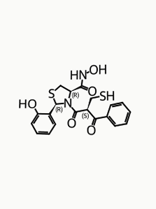 O=C(c1ccccc1)[C@H](CS)C(=O)N1[C@@H](c2ccccc2O)SC[C@H]1C(=O)NO